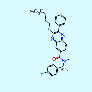 C[C@H](c1ccc(F)cc1)N(C)C(=O)c1ccc2nc(-c3ccccc3)c(CCCCC(=O)O)nc2c1